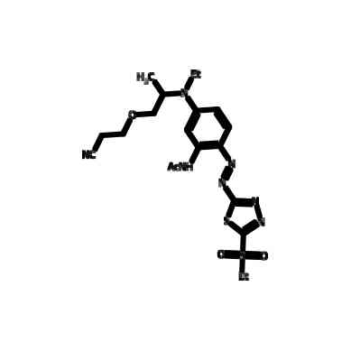 CCN(c1ccc(N=Nc2nnc(S(=O)(=O)CC)s2)c(NC(C)=O)c1)C(C)COCCC#N